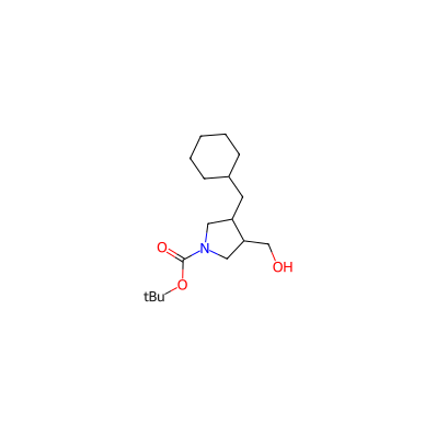 CC(C)(C)OC(=O)N1CC(CO)C(CC2CCCCC2)C1